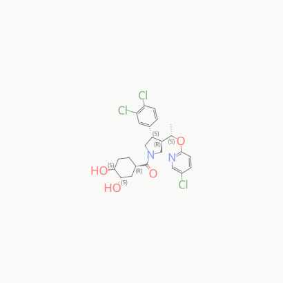 C[C@H](Oc1ccc(Cl)cn1)[C@H]1CN(C(=O)[C@@H]2CC[C@H](O)[C@@H](O)C2)C[C@@H]1c1ccc(Cl)c(Cl)c1